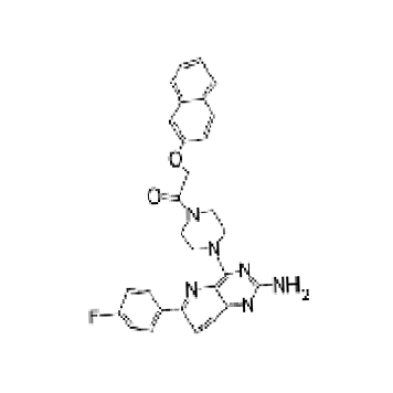 Nc1nc(N2CCN(C(=O)COc3ccc4ccccc4c3)CC2)c2nc(-c3ccc(F)cc3)ccc2n1